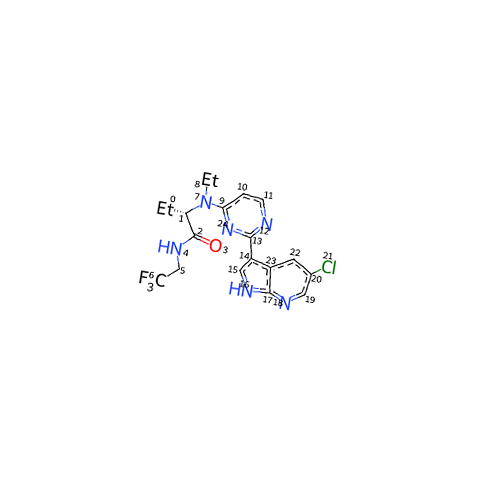 CC[C@@H](C(=O)NCC(F)(F)F)N(CC)c1ccnc(-c2c[nH]c3ncc(Cl)cc23)n1